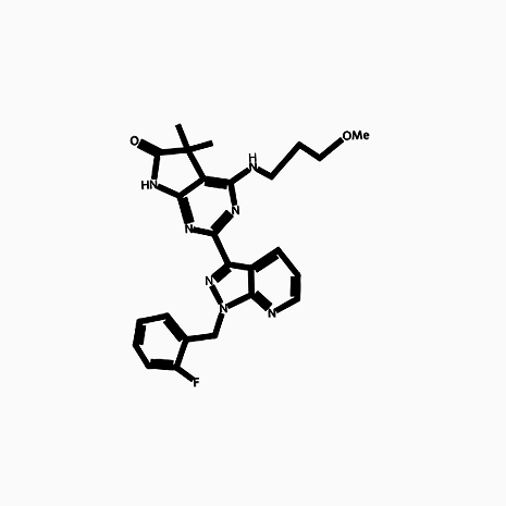 COCCCNc1nc(-c2nn(Cc3ccccc3F)c3ncccc23)nc2c1C(C)(C)C(=O)N2